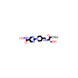 COC(=O)[C@H](CO)NCC1CCN(c2ncc(C(=O)NO)cn2)CC1